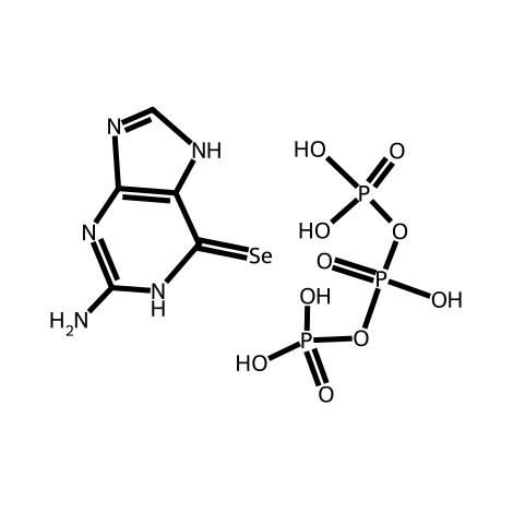 Nc1nc2nc[nH]c2c(=[Se])[nH]1.O=P(O)(O)OP(=O)(O)OP(=O)(O)O